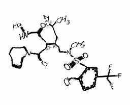 CC(C)C[C@@H](CN(C)S(=O)(=O)c1cc(C(F)(F)F)ccc1Cl)[C@H](C(=O)NO)C(=O)N1CCCCC1